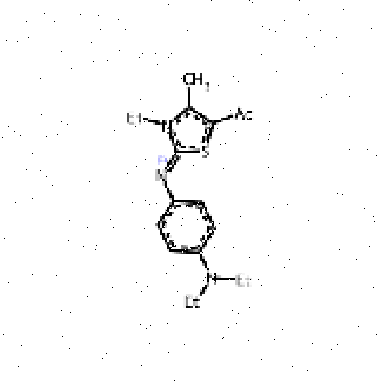 CCN(CC)c1ccc(/N=c2\sc(C(C)=O)c(C)n2CC)cc1